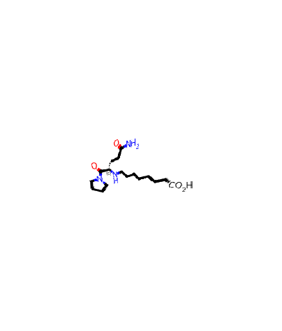 NC(=O)CC[C@H](NCCCCCCCC(=O)O)C(=O)N1CCCC1